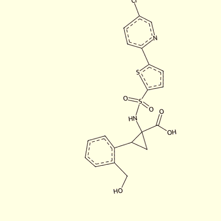 O=C(O)C1(NS(=O)(=O)c2ccc(-c3ccc(Cl)cn3)s2)CC1c1ccccc1CO